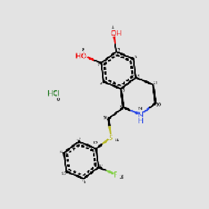 Cl.Oc1cc2c(cc1O)C(CSc1ccccc1F)NCC2